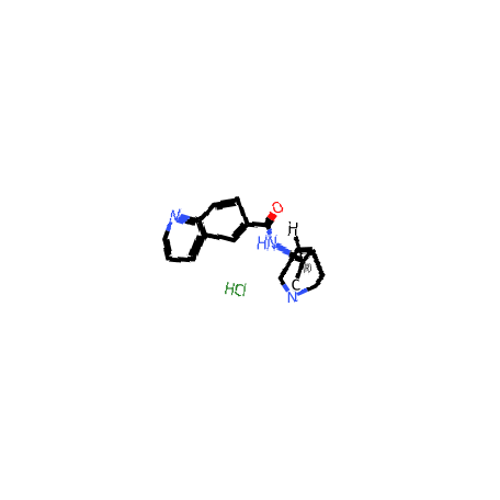 Cl.O=C(N[C@H]1CN2CCC1CC2)c1ccc2ncccc2c1